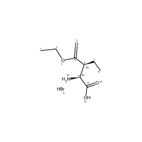 Br.CCOC(=O)[C@@H](CC)[C@H](N)C(=O)O